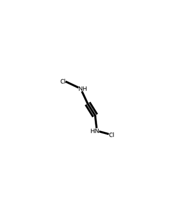 ClNC#CNCl